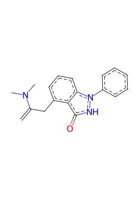 C=C(Cc1cccc2c1c(=O)[nH]n2-c1ccccc1)N(C)C